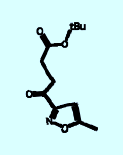 Cc1cc(C(=O)CCC(=O)OC(C)(C)C)no1